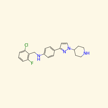 Fc1cccc(Cl)c1CNc1ccc(-c2ccn(C3CCNCC3)n2)cc1